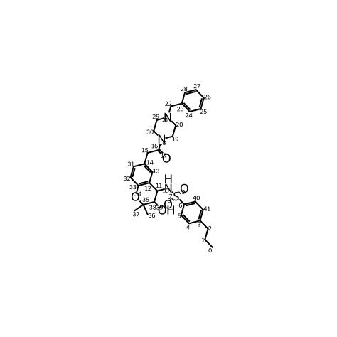 CCCc1ccc(S(=O)(=O)NC2c3cc(CC(=O)N4CCN(Cc5ccccc5)CC4)ccc3OC(C)(C)C2O)cc1